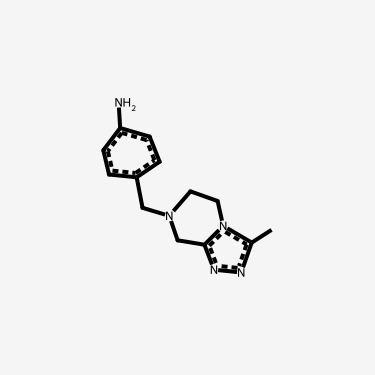 Cc1nnc2n1CCN(Cc1ccc(N)cc1)C2